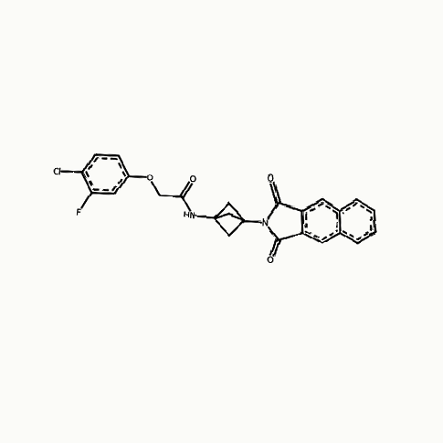 O=C(COc1ccc(Cl)c(F)c1)NC12CC(N3C(=O)c4cc5ccccc5cc4C3=O)(C1)C2